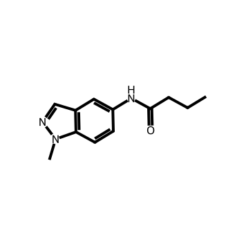 CCCC(=O)Nc1ccc2c(cnn2C)c1